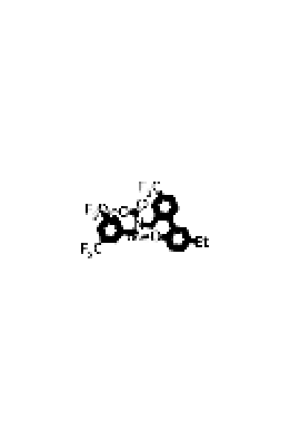 CCc1ccc(OC)c(-c2ccc(C(F)(F)F)cc2CN(Cc2cc(C(F)(F)F)cc(C(F)(F)F)c2)C(=O)OC)c1